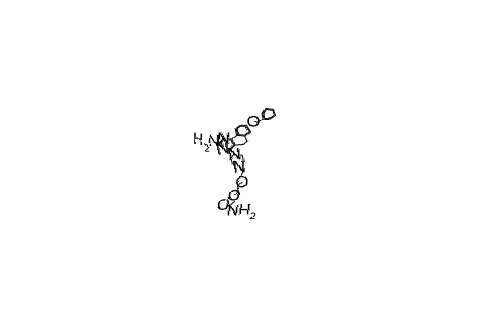 NC(=O)COCCOCCN1CCN(c2nc(N)nc3c2CCc2cc(OCc4ccccc4)ccc2-3)CC1